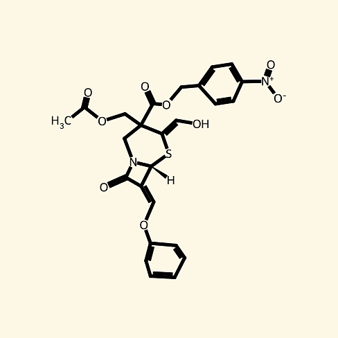 CC(=O)OCC1(C(=O)OCc2ccc([N+](=O)[O-])cc2)CN2C(=O)C(=COc3ccccc3)[C@H]2SC1=CO